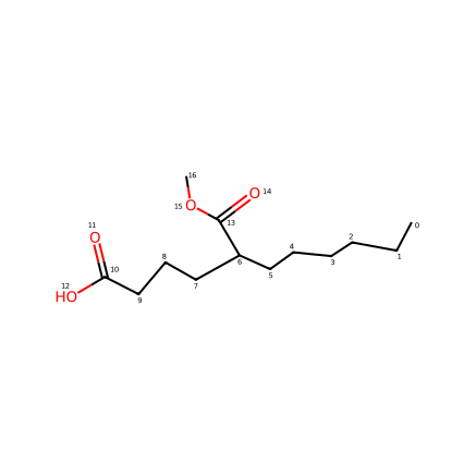 CCCCCCC(CCCC(=O)O)C(=O)OC